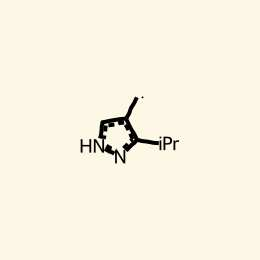 [CH2]c1c[nH]nc1C(C)C